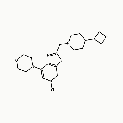 ClN1C=C(N2CCOCC2)c2nc(CN3CCC(C4COC4)CC3)sc2C1